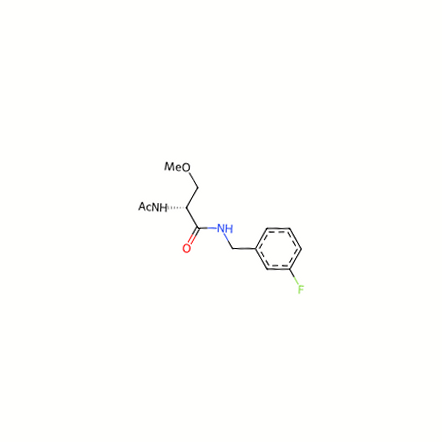 COC[C@@H](NC(C)=O)C(=O)NCc1cccc(F)c1